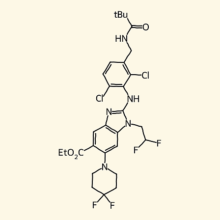 CCOC(=O)c1cc2nc(Nc3c(Cl)ccc(CNC(=O)C(C)(C)C)c3Cl)n(CC(F)F)c2cc1N1CCC(F)(F)CC1